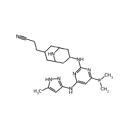 Cc1cc(Nc2cc(P(C)C)nc(NC3CC4CC(CCC#N)CC(C3)N4)n2)n[nH]1